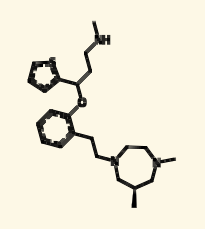 CNCCC(Oc1ccccc1CCN1CCN(C)C[C@@H](C)C1)c1cccs1